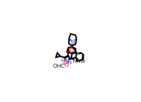 CNC(NOC=O)c1ccc(N2C3CCC2CC(OCc2c(-c4ccccc4C)noc2C2CC2)C3)cc1F